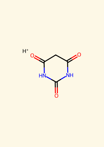 O=C1CC(=O)NC(=O)N1.[H+]